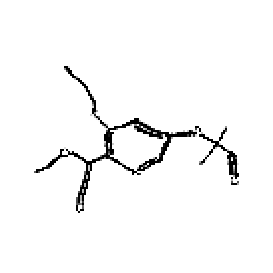 CCSc1cc(OC(C)(C)C=O)cnc1C(=O)OC